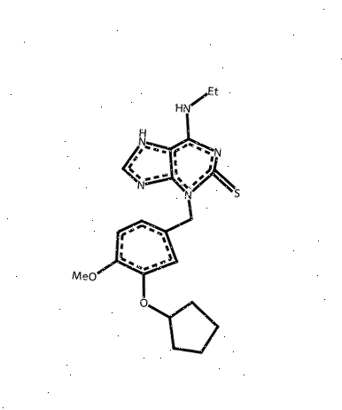 CCNc1nc(=S)n(Cc2ccc(OC)c(OC3CCCC3)c2)c2nc[nH]c12